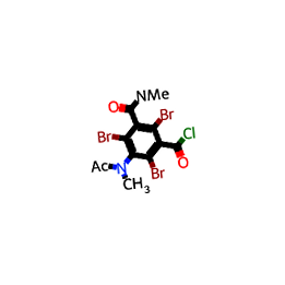 CNC(=O)c1c(Br)c(C(=O)Cl)c(Br)c(N(C)C(C)=O)c1Br